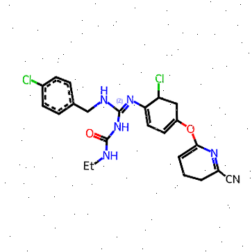 CCNC(=O)N/C(=N\C1=CC=C(OC2=CCCC(C#N)=N2)CC1Cl)NCc1ccc(Cl)cc1